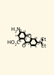 CCN(CC)c1ccc(C(=O)c2ccc(N)cc2C(=O)O)c(O)c1